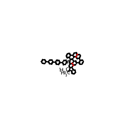 CC1(C)c2ccccc2-c2ccc(N(c3ccc(-c4ccc(-c5ccc(-c6ccccc6)cc5)cc4)cc3)c3c(-c4cccc(-c5ccccc5-c5ccccc5)c4)c4ccccc4c4ccccc34)cc21